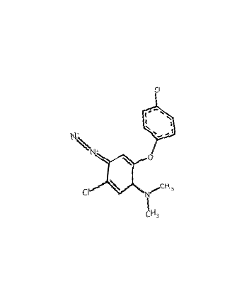 CN(C)C1C=C(Cl)C(=[N+]=[N-])C=C1Oc1ccc(Cl)cc1